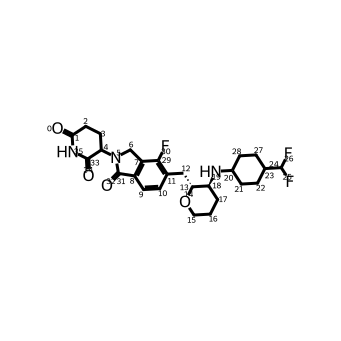 O=C1CCC(N2Cc3c(ccc(C[C@H]4OCCC[C@@H]4NC4CCC(C(F)F)CC4)c3F)C2=O)C(=O)N1